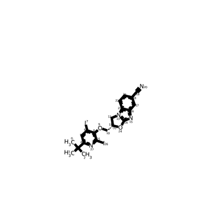 CC(C)(C)c1cc(I)c(OC[C@@H]2Cn3c(nc4cc(C#N)ccc43)O2)c(I)n1